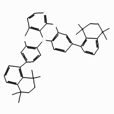 CC1(C)CCC(C)(C)c2c(-c3ccc4c(c3)Oc3ccnc5c3B4c3ccc(-c4cccc6c4C(C)(C)CCC6(C)C)cc3O5)cccc21